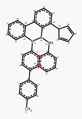 Cc1ccc(-c2ccc(N3B(Nc4ccccc4)c4c(cccc4C4C=CC=C4)-c4ccccc43)cc2)cc1